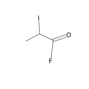 CC(I)C(=O)F